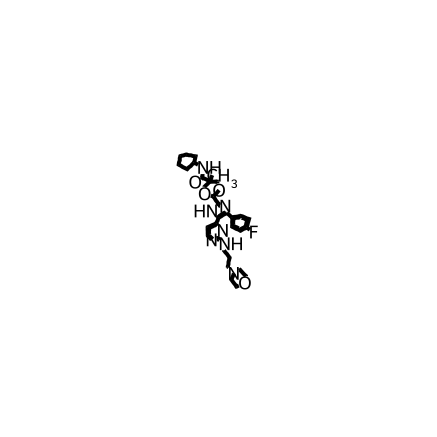 CC1(C(=O)NC2CCCCC2)COC(c2nc(-c3ccc(F)cc3)c(-c3ccnc(NCCCN4CCOCC4)n3)[nH]2)OC1